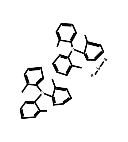 Cc1ccccc1P(c1ccccc1C)c1ccccc1C.Cc1ccccc1P(c1ccccc1C)c1ccccc1C.[Br][Pd][Br]